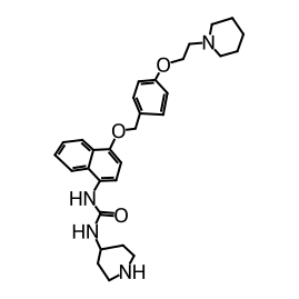 O=C(Nc1ccc(OCc2ccc(OCCN3CCCCC3)cc2)c2ccccc12)NC1CCNCC1